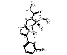 CCCCc1cccc(-c2noc(CC(C(=O)OC(C)(C)C)P(=O)(OCC)OCC)n2)c1